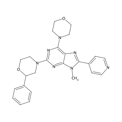 Cn1c(-c2ccncc2)nc2c(N3CCOCC3)nc(N3CCOC(c4ccccc4)C3)nc21